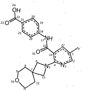 Cc1cnc(N2CC3(CCOCC3)C2)c(C(=O)Nc2ccc(C(=O)O)cc2)c1